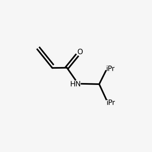 C=CC(=O)NC(C(C)C)C(C)C